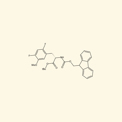 COc1cc(C[C@H](NC(=O)OCC2c3ccccc3-c3ccccc32)C(=O)OC(C)(C)C)c(F)cc1F